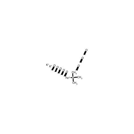 C[Si](C)(C)[Fe-2].[C]=O.[C]=O.[C]=O.[C]=O.[C]=O.[C]=O.[C]=O.[C]=O.[K+].[K+]